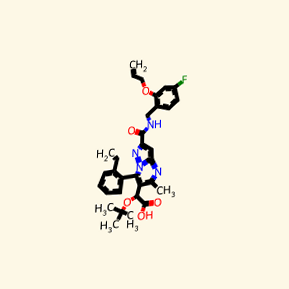 C=CCOc1cc(F)ccc1CNC(=O)c1cc2nc(C)c(C(OC(C)(C)C)C(=O)O)c(-c3ccccc3C=C)n2n1